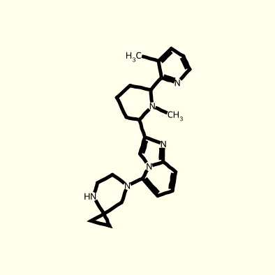 Cc1cccnc1C1CCCC(c2cn3c(N4CCNC5(CC5)C4)cccc3n2)N1C